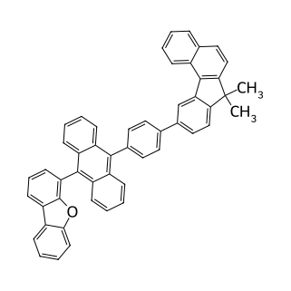 CC1(C)c2ccc(-c3ccc(-c4c5ccccc5c(-c5cccc6c5oc5ccccc56)c5ccccc45)cc3)cc2-c2c1ccc1ccccc21